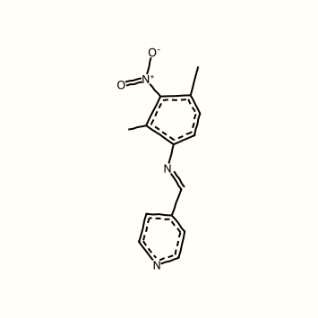 Cc1ccc(N=Cc2ccncc2)c(C)c1[N+](=O)[O-]